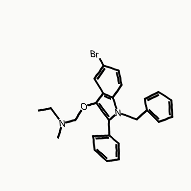 CCN(C)COc1c(-c2ccccc2)n(Cc2ccccc2)c2ccc(Br)cc12